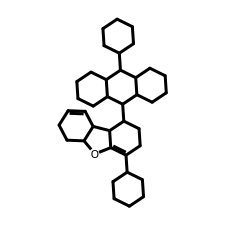 C1=CC2C(CC1)OC1=C(C3CCCCC3)CCC(C3C4CCCCC4C(C4CCCCC4)C4CCCCC43)C12